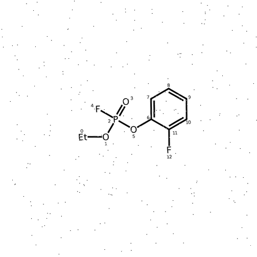 CCOP(=O)(F)Oc1ccccc1F